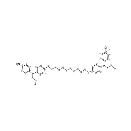 CCCC(c1ccc(N)cc1)c1ccc(CCCCCCCCCCCCc2ccc(C(CCC)c3ccc(N)cc3)cc2)cc1